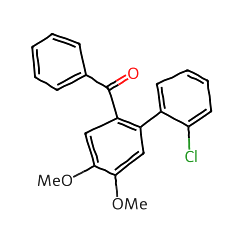 COc1cc(C(=O)c2ccccc2)c(-c2ccccc2Cl)cc1OC